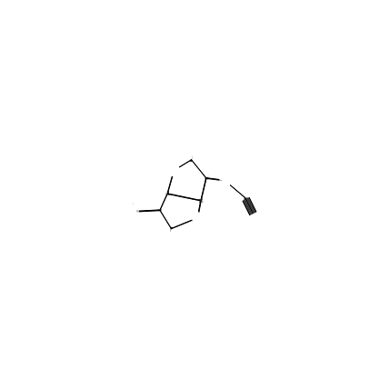 C#COC1COC2C(O)COC12